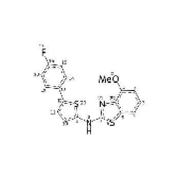 COc1cccc2sc(Nc3ccc(-c4ccc(F)cc4)s3)nc12